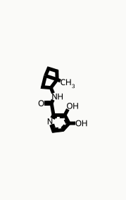 CC12CCC1CC2NC(=O)c1nccc(O)c1O